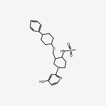 CS(=O)(=O)NC1CCN(c2cc(O)ccn2)CC1COC1CCC(c2ccccc2)CC1